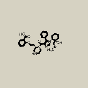 COC[C@]1(O)CCCC[C@H]1n1cnc(C(=O)N2CCNC[C@H]2CCOc2ccccc2C(=O)O)c1-c1ccccc1